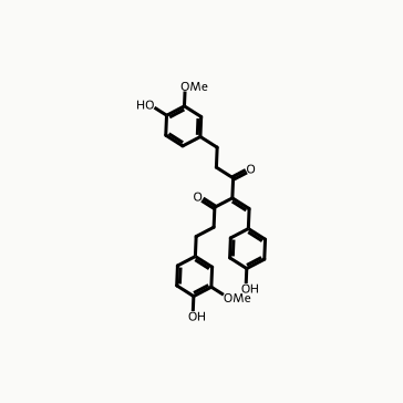 COc1cc(CCC(=O)C(=Cc2ccc(O)cc2)C(=O)CCc2ccc(O)c(OC)c2)ccc1O